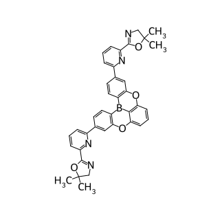 CC1(C)CN=C(c2cccc(-c3ccc4c(c3)Oc3cccc5c3B4c3ccc(-c4cccc(C6=NCC(C)(C)O6)n4)cc3O5)n2)O1